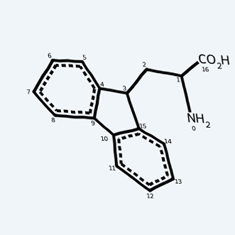 NC(CC1c2ccccc2-c2ccccc21)C(=O)O